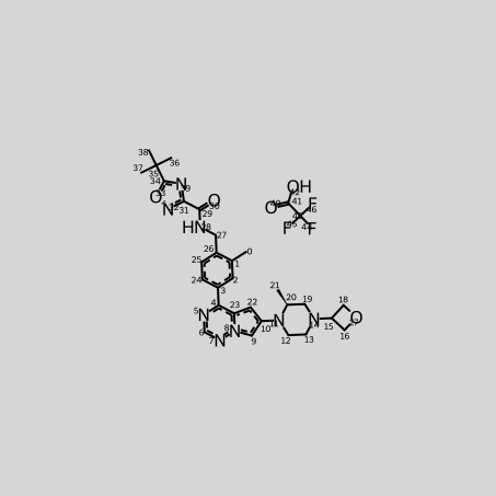 Cc1cc(-c2ncnn3cc(N4CCN(C5COC5)C[C@@H]4C)cc23)ccc1CNC(=O)c1noc(C(C)(C)C)n1.O=C(O)C(F)(F)F